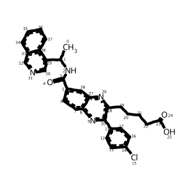 CC(NC(=O)c1ccc2nc(-c3ccc(Cl)cc3)c(CCCCC(=O)O)nc2c1)c1cncc2ccccc12